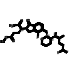 CC(CCC(F)F)N[C@H]1CCCO[C@@H]1Cc1ccc2c(c1F)CN([C@@H](CCC(=O)OC(C)(C)C)C(N)=O)C2=O